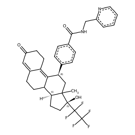 CC12C[C@H](c3ccc(C(=O)NCc4ccccn4)cc3)C3=C4CCC(=O)C=C4CCC3[C@@H]1CC[C@@]2(O)C(F)(F)C(F)(F)F